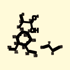 C=C(C)C(=O)O.C=CC=C.C=Cc1ccccc1C=C